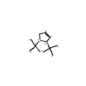 CC(C)(C)[C@@H]1C=CCN1C(C)(C)C